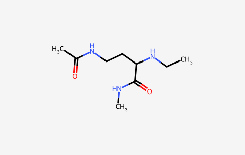 CCNC(CCNC(C)=O)C(=O)NC